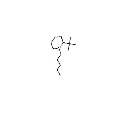 CCCCCN1CCCCC1C(C)(C)C